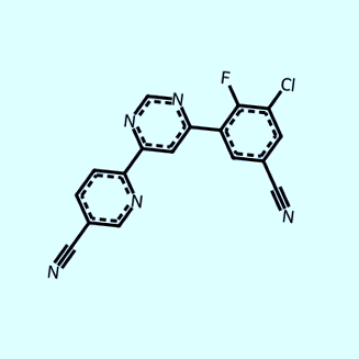 N#Cc1ccc(-c2cc(-c3cc(C#N)cc(Cl)c3F)ncn2)nc1